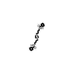 O=C(NCCCCCN1CCN(CCCCCNC(=O)c2ccccc2)CC1)c1ccccc1